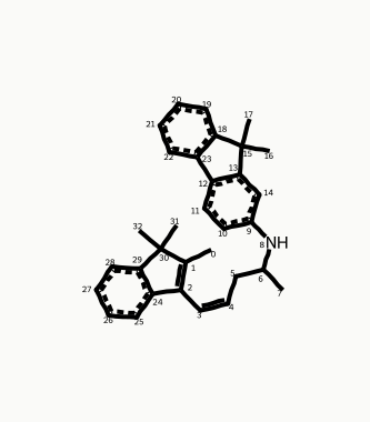 CC1=C(/C=C\CC(C)Nc2ccc3c(c2)C(C)(C)c2ccccc2-3)c2ccccc2C1(C)C